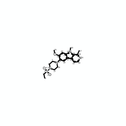 CCS(=O)(=O)N1CCN(c2cc3c4ccnc(C)c4n(C)c3cc2OC)CC1